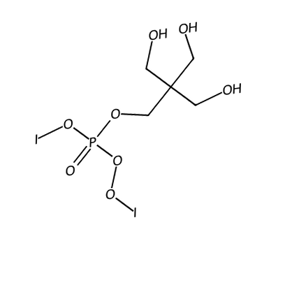 O=P(OI)(OCC(CO)(CO)CO)OOI